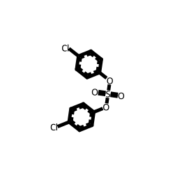 O=S(=O)(Oc1ccc(Cl)cc1)Oc1ccc(Cl)cc1